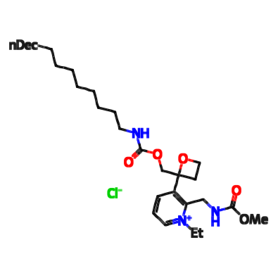 CCCCCCCCCCCCCCCCCCNC(=O)OCC1(c2ccc[n+](CC)c2CNC(=O)OC)CCO1.[Cl-]